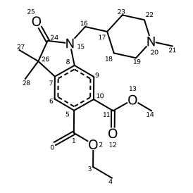 C=C(OCC)c1cc2c(cc1C(=O)OC)N(CC1CCN(C)CC1)C(=O)C2(C)C